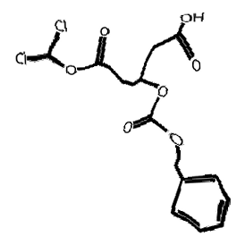 O=C(O)CC(CC(=O)OC(Cl)Cl)OC(=O)OCc1ccccc1